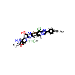 CC(=O)Nc1ccc(-c2cn3ccc(Sc4nc(CO)c(N5CCC6(CC5)CO[C@@H](C)[C@H]6N)nc4C)c(Cl)c3n2)cc1.Cl